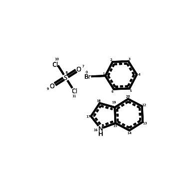 Brc1ccccc1.O=S(=O)(Cl)Cl.c1ccc2[nH]ccc2c1